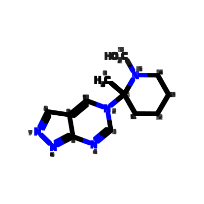 CC1(n2cnc3nncc-3c2)CCCCN1C(=O)O